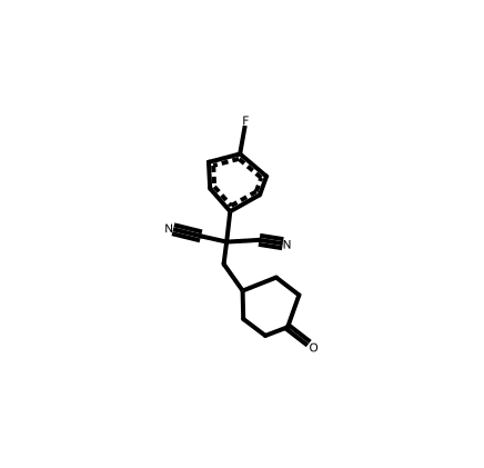 N#CC(C#N)(CC1CCC(=O)CC1)c1ccc(F)cc1